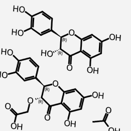 CC(=O)O.O=C(O)CO[C@H]1C(=O)c2c(O)cc(O)cc2O[C@@H]1c1ccc(O)c(O)c1.O=C1c2c(O)cc(O)cc2O[C@H](c2ccc(O)c(O)c2)[C@H]1O